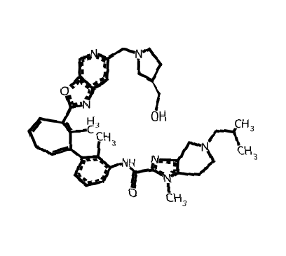 CC1=C(c2nc3cc(CN4CC[C@@H](CO)C4)ncc3o2)C=CCC=C1c1cccc(NC(=O)c2nc3c(n2C)CCN(CC(C)C)C3)c1C